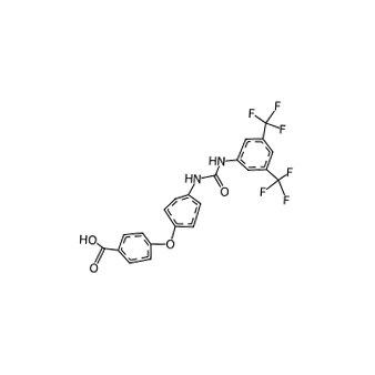 O=C(Nc1ccc(Oc2ccc(C(=O)O)cc2)cc1)Nc1cc(C(F)(F)F)cc(C(F)(F)F)c1